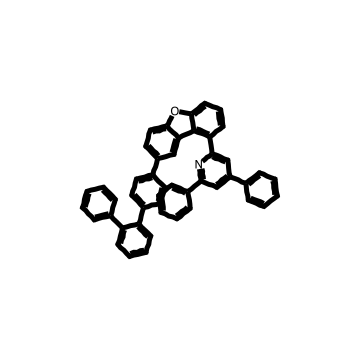 c1ccc(-c2cc(-c3ccccc3)nc(-c3cccc4oc5ccc(-c6ccc(-c7ccccc7-c7ccccc7)cc6)cc5c34)c2)cc1